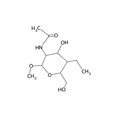 CCC1C(CO)OC(OC)C(NC(C)=O)C1O